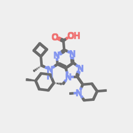 CC1CCN(C)C(c2nc3nc(C(=O)O)nc(N[C@H](C)C4CCC4)c3n2C[C@H]2CC[C@H](C)CC2)C1